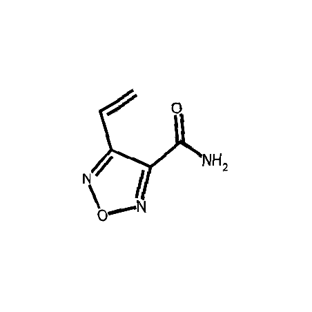 C=Cc1nonc1C(N)=O